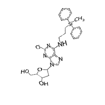 C[Si](CCCNc1nc(Cl)nc2c1ncn2C1CC(O)C(CO)O1)(c1ccccc1)c1ccccc1